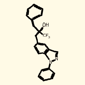 OC(Cc1ccccc1)(Cc1ccc2c(cnn2-c2ccccc2)c1)C(F)(F)F